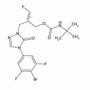 CC(C)(C)NC(=O)OC/C(=C/F)Cn1ncn(-c2cc(F)c(Br)c(F)c2)c1=O